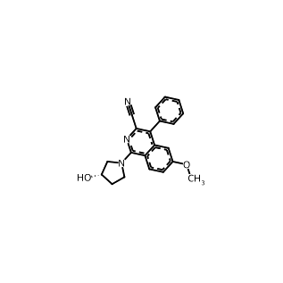 COc1ccc2c(N3CC[C@H](O)C3)nc(C#N)c(-c3ccccc3)c2c1